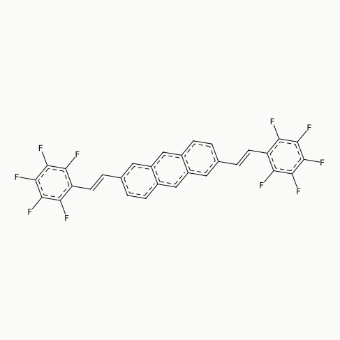 Fc1c(F)c(F)c(/C=C/c2ccc3cc4cc(/C=C/c5c(F)c(F)c(F)c(F)c5F)ccc4cc3c2)c(F)c1F